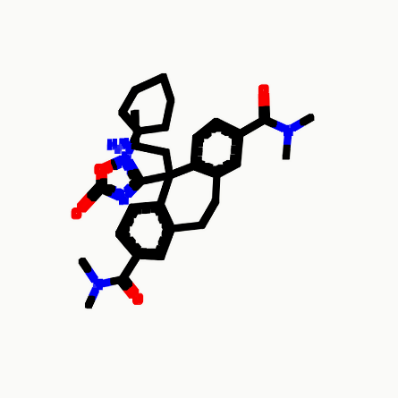 C[C@H](N)CC1(c2nc(=O)on2C2CCCCC2)c2ccc(C(=O)N(C)C)cc2CCc2cc(C(=O)N(C)C)ccc21